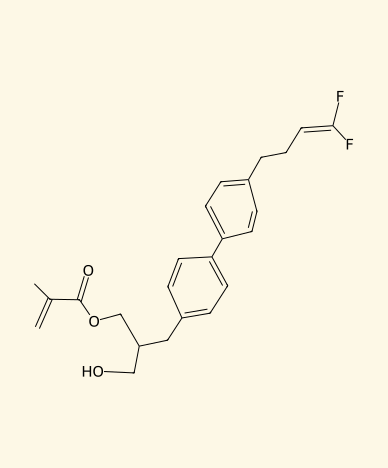 C=C(C)C(=O)OCC(CO)Cc1ccc(-c2ccc(CCC=C(F)F)cc2)cc1